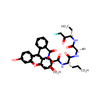 CC(C)[C@H](NC(=O)[C@H](CCC(=O)O)NC(=O)[C@H](CC(=O)O)NC(=O)c1ccccc1-c1c2ccc(=O)cc-2oc2cc(O)ccc12)C(=O)N[C@@H](CC(=O)O)C(=O)CF